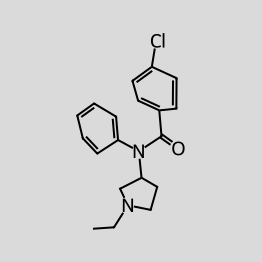 CCN1CCC(N(C(=O)c2ccc(Cl)cc2)c2ccccc2)C1